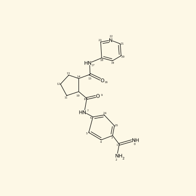 N=C(N)c1ccc(NC(=O)C2CCCC2C(=O)Nc2cccnc2)cc1